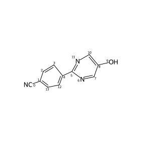 N#Cc1ccc(-c2ncc(O)cn2)cc1